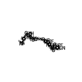 Cc1ncsc1-c1ccc(CNC(=O)C2CCCN2C(=O)C(NC(=O)COCCCCOc2ccc(-c3ncc(N4C(=S)N(c5ccc(C#N)c(C(F)(F)F)c5F)C(=O)C4(C)C)cc3C(F)(F)F)c(F)c2)C(C)(C)C)cc1